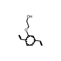 C=Cc1ccc(C=C)c(OCCO)c1